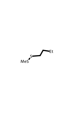 [CH2]SSCCCC